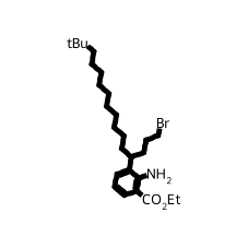 CCOC(=O)c1cccc(C(CCCBr)CCCCCCCCCCC(C)(C)C)c1N